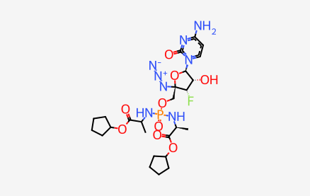 CC(NP(=O)(N[C@@H](C)C(=O)OC1CCCC1)OC[C@@]1(N=[N+]=[N-])O[C@@H](n2ccc(N)nc2=O)[C@H](O)[C@@H]1F)C(=O)OC1CCCC1